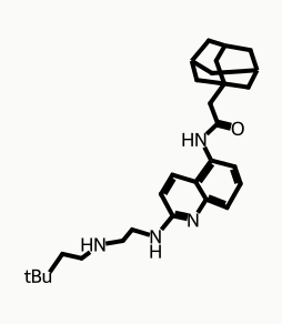 CC(C)(C)CCNCCNc1ccc2c(NC(=O)CC34CC5CC(CC(C5)C3)C4)cccc2n1